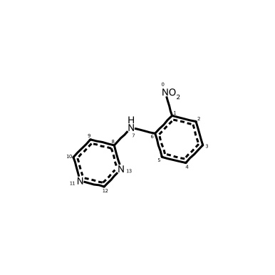 O=[N+]([O-])c1ccccc1Nc1ccncn1